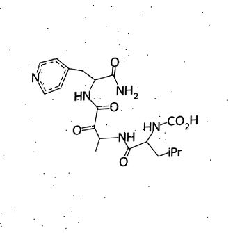 CC(C)CC(NC(=O)O)C(=O)NC(C)C(=O)C(=O)NC(Cc1ccncc1)C(N)=O